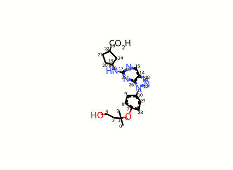 CC(C)(CCO)Oc1ccc(-n2nnc3cnc(N[C@@H]4CC[C@@H](C(=O)O)C4)nc32)cc1